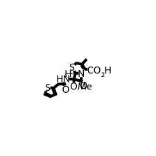 COC1(NC(=O)Cc2cccs2)C(=O)N2C(C(=O)O)=C(C)CS[C@@H]21